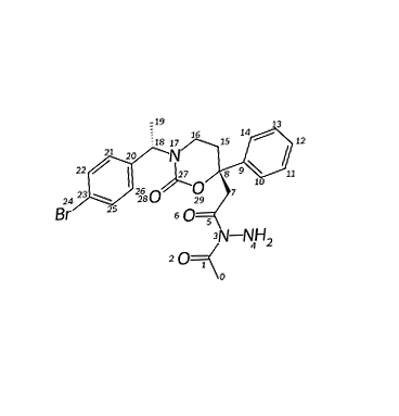 CC(=O)N(N)C(=O)C[C@]1(c2ccccc2)CCN([C@@H](C)c2ccc(Br)cc2)C(=O)O1